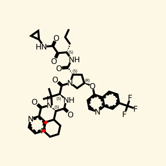 CCC[C@H](NC(=O)[C@@H]1C[C@@H](Oc2ccnc3cc(C(F)(F)F)ccc23)CN1C(=O)[C@@H](NC(=O)[C@@H](NC(=O)c1cnccn1)C1CCCCC1)C(C)(C)C)C(=O)C(=O)NC1CC1